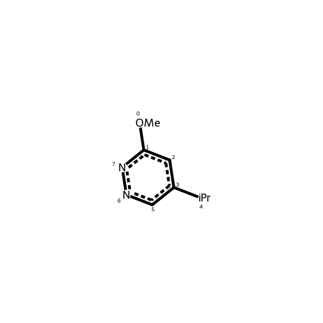 COc1cc(C(C)C)cnn1